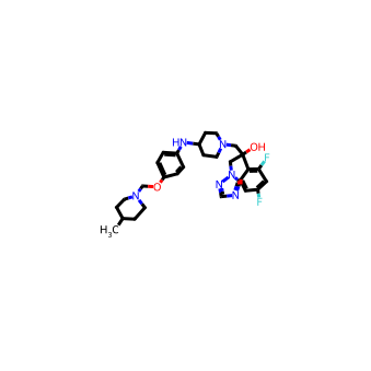 CC1CCN(COc2ccc(NC3CCN(CC(O)(Cn4cncn4)c4ccc(F)cc4F)CC3)cc2)CC1